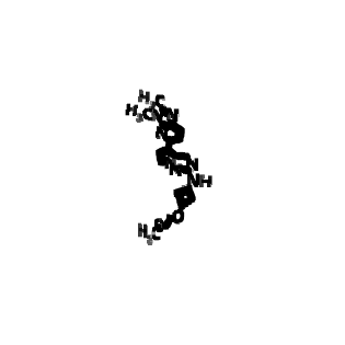 COCCO[C@H]1C[C@@H](Nc2ncc3c(-c4ccc5nc(C)n(C)c5n4)ccn3n2)C1